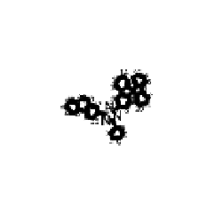 c1ccc(-c2nc(-c3ccc(C4(c5ccccc5)c5ccccc5-c5ccccc54)cc3)nc(-c3ccc4c(ccc5ccccc54)c3)n2)cc1